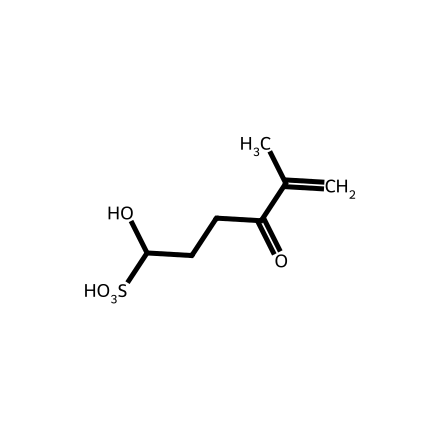 C=C(C)C(=O)CCC(O)S(=O)(=O)O